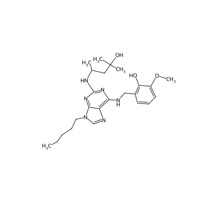 CCCCCn1cnc2c(NCc3cccc(OC)c3O)nc(NC(C)CC(C)(C)O)nc21